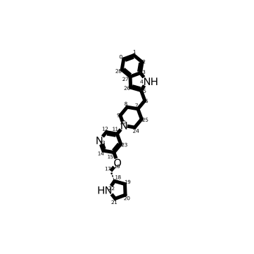 c1ccc2[nH]c(CC3CCN(c4cncc(OC[C@@H]5CCCN5)c4)CC3)cc2c1